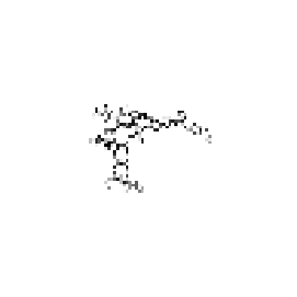 C=CC(=O)N1CC2(CC(n3nc(-c4ccc5c(c4)CN(C)C(=O)C5)c(-c4c(Cl)c(C)cc5[nH]ncc45)c3C)C2)C1